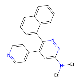 CCN(CC)c1cc(-c2ccncc2)c(-c2cccc3ccccc23)nn1